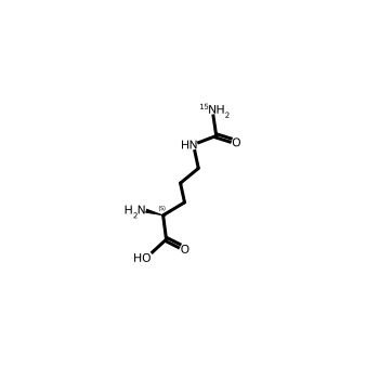 N[C@@H](CCCNC([15NH2])=O)C(=O)O